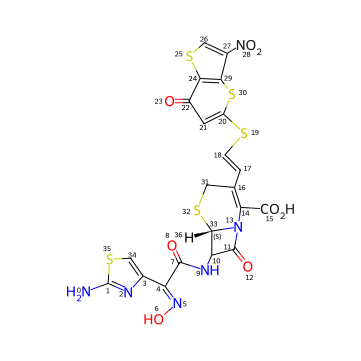 Nc1nc(C(=NO)C(=O)NC2C(=O)N3C(C(=O)O)=C(C=CSc4cc(=O)c5scc([N+](=O)[O-])c5s4)CS[C@@H]23)cs1